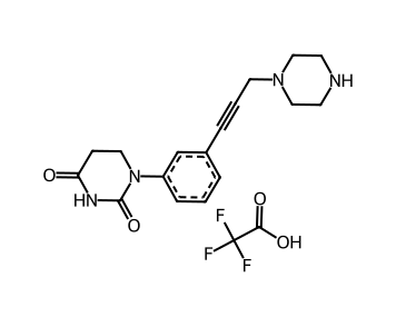 O=C(O)C(F)(F)F.O=C1CCN(c2cccc(C#CCN3CCNCC3)c2)C(=O)N1